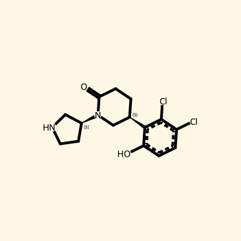 O=C1CC[C@@H](c2c(O)ccc(Cl)c2Cl)CN1[C@H]1CCNC1